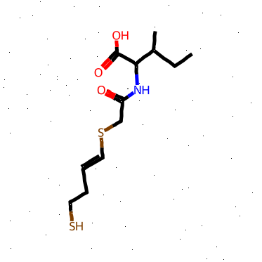 CCC(C)C(NC(=O)CS/C=C/CCS)C(=O)O